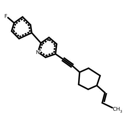 C/C=C/C1CCC(C#Cc2ccc(-c3ccc(F)cc3)nc2)CC1